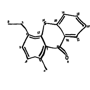 CCc1ccc(C)c2c(=O)c3ccccc3sc12